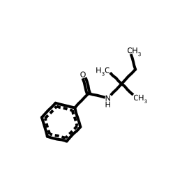 CCC(C)(C)NC(=O)c1ccccc1